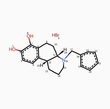 Br.Oc1ccc2c(c1O)CC[C@H]1[C@@H]2CCCN1Cc1ccccc1